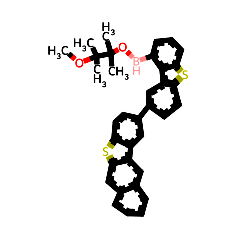 COC(C)(C)C(C)(C)OBc1cccc2sc3ccc(-c4ccc5sc6cc7ccccc7cc6c5c4)cc3c12